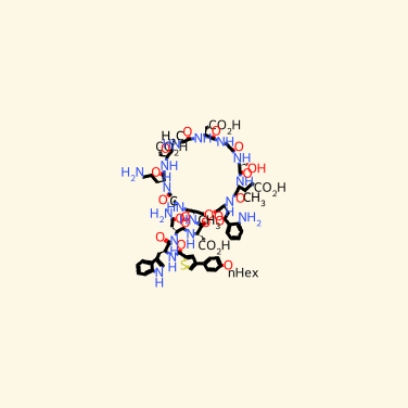 CCCCCCOc1ccc(-c2csc(C(=O)N[C@@H](Cc3c[nH]c4ccccc34)C(=O)N[C@H](CC(N)=O)C(=O)N[C@@H](CC(=O)O)C(=O)N[C@@H]3C(=O)NCC(=O)N[C@@H](CCCN)C(=O)N[C@@H](CC(=O)O)C(=O)N[C@H](C)C(=O)N[C@@H](CC(=O)O)C(=O)NCC(=O)N[C@H](CO)C(=O)N[C@@H]([C@H](C)CC(=O)O)C(=O)N[C@@H](CC(=O)c4ccccc4N)C(=O)O[C@@H]3C)c2)cc1